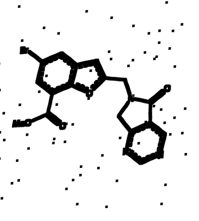 COC(=O)c1cc(Br)cc2cc(CN3Cc4ncncc4C3=O)oc12